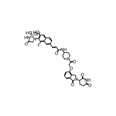 O=C(/C=C/c1ccc2cc(O)c(N3CC(=O)NS3(O)O)c(F)c2c1)NC1CCN(C(=O)COc2cccc3c2CN(C2CCC(=O)NC2=O)C3=O)CC1